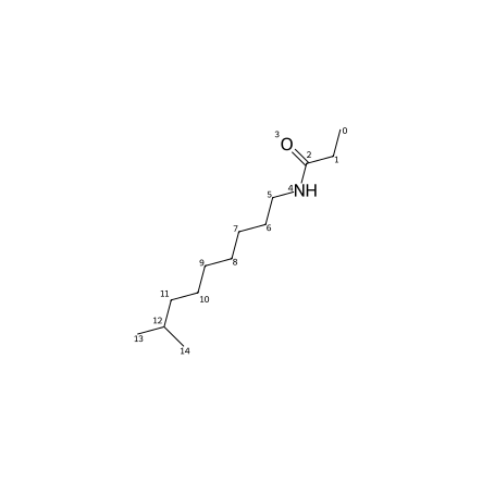 CCC(=O)NCCCCCCCC(C)C